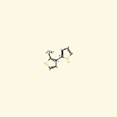 CC(=O)Oc1sccc1-c1cccs1